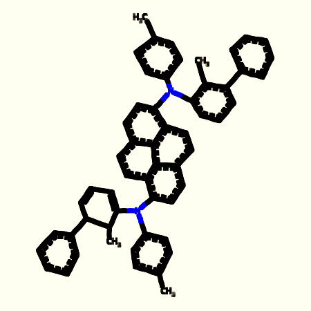 Cc1ccc(N(C2=CC=CC(c3ccccc3)C2C)c2ccc3ccc4c(N(c5ccc(C)cc5)c5cccc(-c6ccccc6)c5C)ccc5ccc2c3c54)cc1